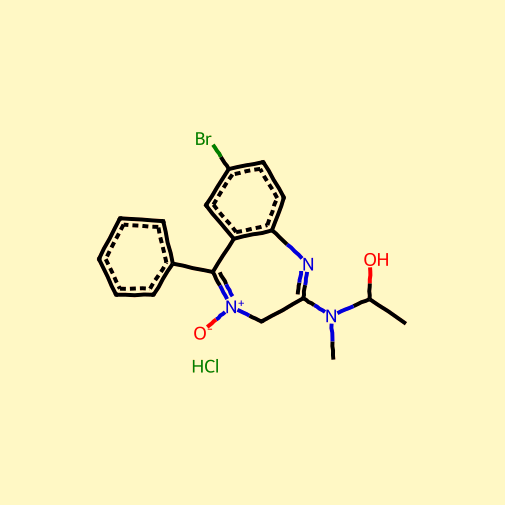 CC(O)N(C)C1=Nc2ccc(Br)cc2C(c2ccccc2)=[N+]([O-])C1.Cl